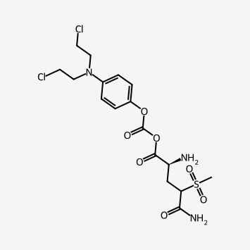 CS(=O)(=O)C(C[C@H](N)C(=O)OC(=O)Oc1ccc(N(CCCl)CCCl)cc1)C(N)=O